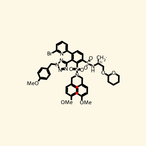 [CH2][C@@H](COC1CCCCO1)NS(=O)(=O)c1ccc(-c2cccc(Br)n2)c(-c2nnn(Cc3ccc(OC)cc3)n2)c1S(=O)(=O)N(Cc1ccc(OC)cc1)Cc1ccc(OC)cc1